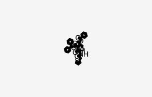 CC(OC(=O)c1ccccc1)C1=C(C(=O)OC(c2ccccc2)c2ccccc2)N2C(=O)C(NC(=O)Cc3cccs3)[C@@H]2SC1